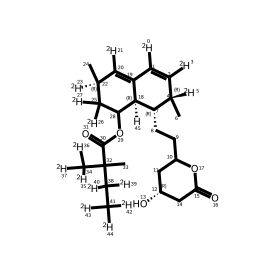 [2H]C1=C([2H])[C@]([2H])(C)[C@H](CCC2C[C@@H](O)CC(=O)O2)[C@@H]2C1=C([2H])[C@]([2H])(C)C([2H])([2H])C2OC(=O)C(C)(C([2H])([2H])[2H])C([2H])([2H])C([2H])([2H])[2H]